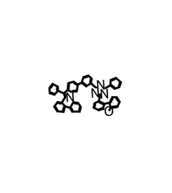 c1ccc(-c2nc(-c3cccc(-c4ccc5c(-c6ccccc6)c6c7ccccc7c7ccccc7n6c5c4)c3)nc(-c3cccc4oc5ccccc5c34)n2)cc1